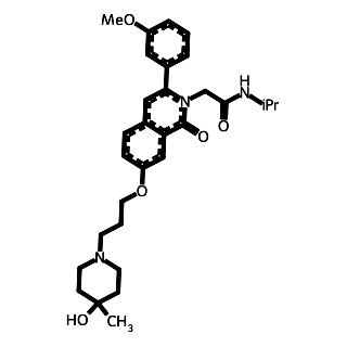 COc1cccc(-c2cc3ccc(OCCCN4CCC(C)(O)CC4)cc3c(=O)n2CC(=O)NC(C)C)c1